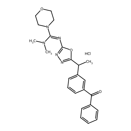 CC(c1cccc(C(=O)c2ccccc2)c1)c1nnc(/N=C(\N(C)C)N2CCOCC2)o1.Cl